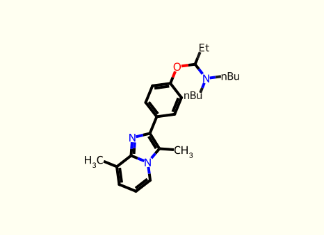 CCCCN(CCCC)C(CC)Oc1ccc(-c2nc3c(C)cccn3c2C)cc1